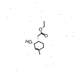 CCOC(=O)C[C@@H]1CCC(C)=C[C@@H]1O